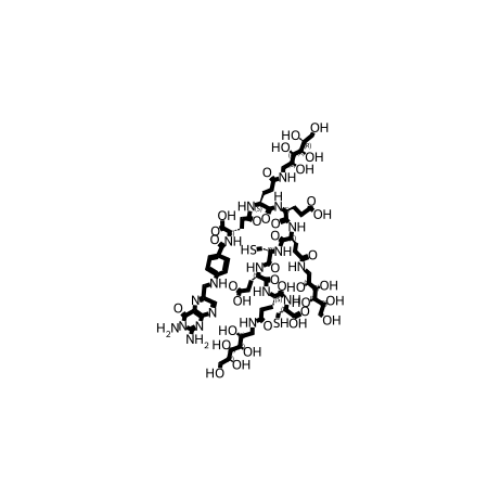 Nc1nc2ncc(CNc3ccc(C(=O)N[C@@H](CCC(=O)N[C@@H](CCC(=O)NC[C@H](O)[C@@H](O)[C@H](O)[C@H](O)CO)C(=O)N[C@@H](CCC(=O)O)C(=O)N[C@@H](CCC(=O)NC[C@H](O)[C@@H](O)[C@H](O)[C@H](O)CO)C(=O)N[C@@H](CS)C(=O)N[C@@H](CCC(=O)O)C(=O)N[C@@H](CCC(=O)NC[C@H](O)[C@@H](O)[C@H](O)[C@H](O)CO)C(=O)N[C@@H](CS)C(=O)O)C(=O)O)cc3)nc2c(=O)n1N